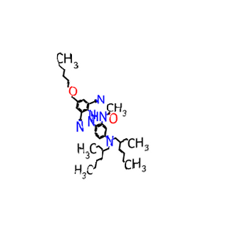 CCCCCCOCc1cc(C#N)c(N=Nc2ccc(N(CC(CC)CCCC)CC(CC)CCCC)cc2NC(C)=O)c(C#N)c1